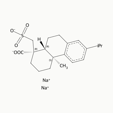 CC(C)c1ccc2c(c1)CC[C@H]1[C@@](CS(=O)(=O)[O-])(C(=O)[O-])CCC[C@]21C.[Na+].[Na+]